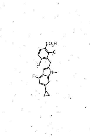 Cn1c(Cc2c(Cl)ccc(C(=O)O)c2Cl)cc2c(F)cc(C3CC3)cc21